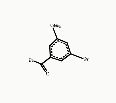 CCC(=O)c1cc(OC)cc(C(C)C)c1